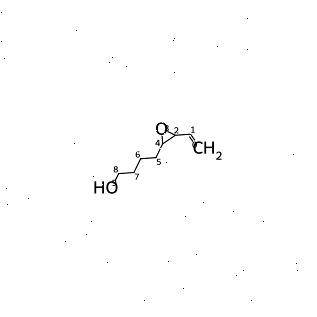 C=CC1OC1CCCCO